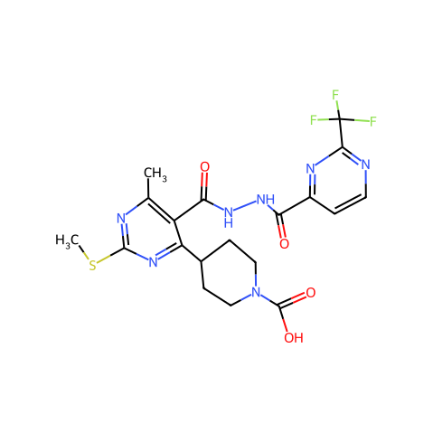 CSc1nc(C)c(C(=O)NNC(=O)c2ccnc(C(F)(F)F)n2)c(C2CCN(C(=O)O)CC2)n1